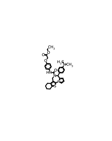 CCOC(=O)COc1ccc(NC(=O)N2Cc3c(sc4c3CCCC4)-n3cccc3C2c2ccc(N(C)C)cc2)cc1